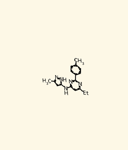 CCc1cc(Nc2cc(C)n[nH]2)nc(-c2ccc(C)cc2)n1